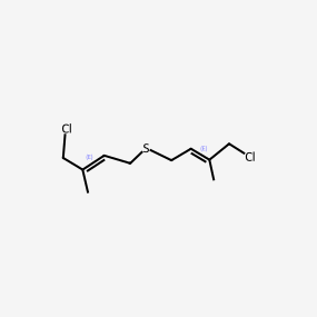 C/C(=C\CSC/C=C(\C)CCl)CCl